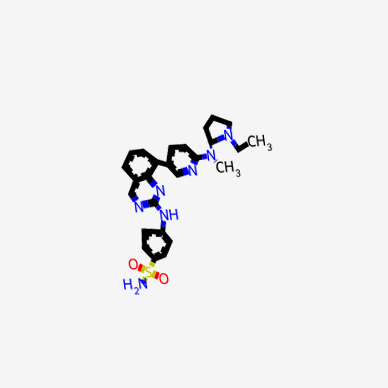 CCN1CCC[C@H]1N(C)c1ccc(-c2cccc3cnc(Nc4ccc(S(N)(=O)=O)cc4)nc23)cn1